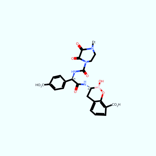 CCN1CCN(C(=O)N[C@@H](C(=O)N[C@H]2Cc3cccc(C(=O)O)c3OB2O)c2ccc(C(=O)O)cc2)C(=O)C1=O